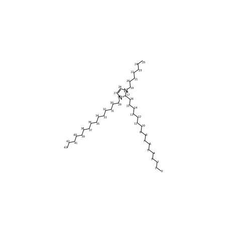 CCCCCCCCCCCCCCCCCc1n(CCCCCCC)cc[n+]1CCCCCCCCCCCCCCC